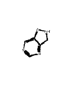 c1ncc2c(n1)CNO2